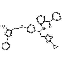 Cc1oc(-c2ccccc2)nc1CCOc1ccc(C(Cc2nnc(C3CC3)o2)Nc2ccccc2C(=O)c2ccccc2)cc1